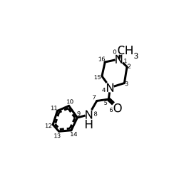 CN1CCN(C(=O)CNc2ccccc2)CC1